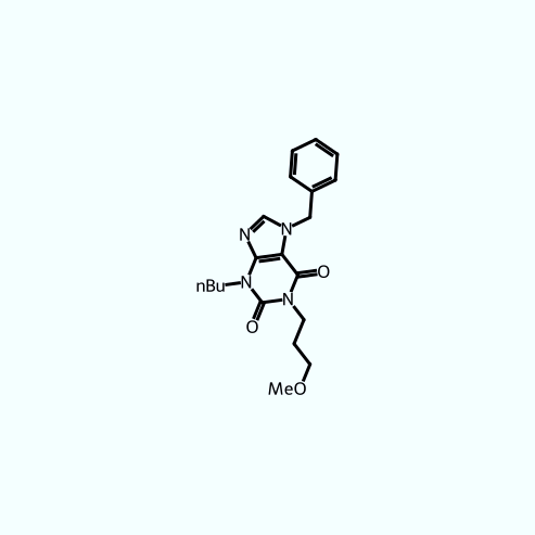 CCCCn1c(=O)n(CCCOC)c(=O)c2c1ncn2Cc1ccccc1